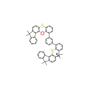 CC1(C)c2ccccc2-c2c1ccc1c2Oc2c(cccc2-c2cccc(-c3cccc4c3Sc3c(ccc5c3-c3ccccc3C5(C)C)[Si]4(C)C)c2)S1